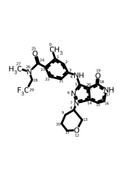 Cc1cc(Nc2nn(C3CCCOC3)c3cc[nH]c(=O)c23)ccc1C(=O)N(C)CC(F)(F)F